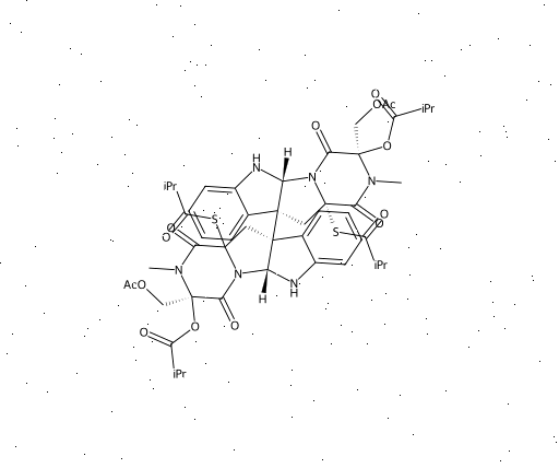 CC(=O)OC[C@@]1(OC(=O)C(C)C)C(=O)N2[C@H]3Nc4ccccc4[C@@]3([C@]34C[C@]5(SC(=O)C(C)C)C(=O)N(C)[C@](COC(C)=O)(OC(=O)C(C)C)C(=O)N5[C@H]3Nc3ccccc34)CC2(SC(=O)C(C)C)C(=O)N1C